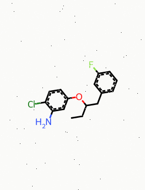 CCC(Cc1cccc(F)c1)Oc1ccc(Cl)c(N)c1